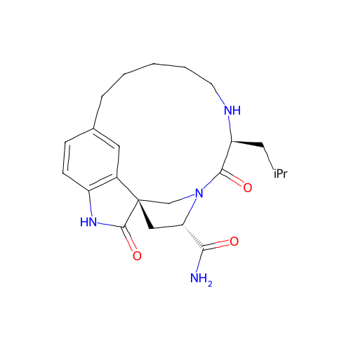 CC(C)C[C@@H]1NCCCCCc2ccc3c(c2)[C@@]2(C[C@@H](C(N)=O)N(C2)C1=O)C(=O)N3